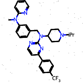 CC(C)N1CCC(N(Cc2cccc(N(C)c3ccccn3)c2)c2nccc(-c3ccc(C(F)(F)F)cc3)n2)CC1